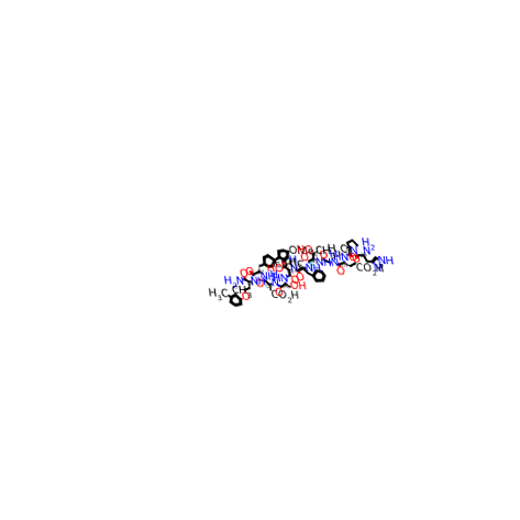 CCc1cc(OC)ccc1-c1ccc(C[C@H](NC(=O)[C@H](CC(=O)O)NC(=O)[C@H](CO)NC(=O)[C@@H](NC(=O)[C@](C)(Cc2ccccc2F)NC(=O)[C@@H](NC(=O)CNC(=O)[C@H](CCC(=O)O)NC(=O)[C@]2(C)CCCN2C(=O)[C@@H](N)Cc2c[nH]cn2)[C@@H](C)O)[C@@H](C)O)C(=O)N[C@@H](CCOc2cccc(C)c2C)C(N)=O)cc1